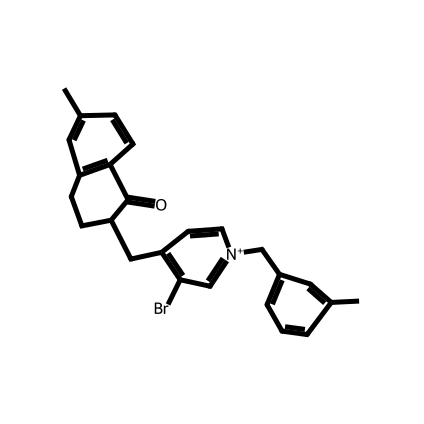 Cc1cccc(C[n+]2ccc(CC3CCc4cc(C)ccc4C3=O)c(Br)c2)c1